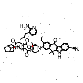 CCc1cc2c(cc1N1CCN(C(=O)CCCN3CC4CCC(C3)C4NC(=O)[C@H](CCCc3cccnc3N)NC(=O)OC(C)(C)C)CC1)C(C)(C)c1[nH]c3cc(C#N)ccc3c1C2=O